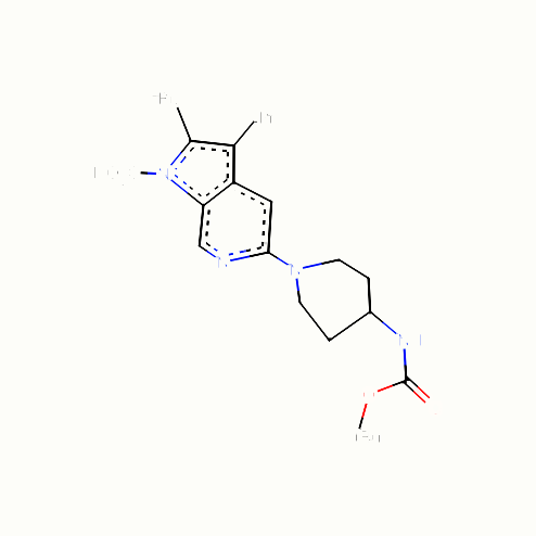 CC(C)c1c(C(C)(C)C)n(C(=O)O)c2cnc(N3CCC(NC(=O)OC(C)(C)C)CC3)cc12